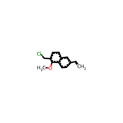 C=Cc1ccc2c(OC)c(CCl)ccc2c1